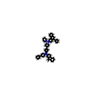 CC1(C)c2ccccc2-c2ccc(N(c3ccc(-c4ccccc4)cc3)c3ccc(-c4ccc(N(c5ccccc5)c5ccc6c(-c7ccccc7)cc7ccccc7c6c5)cc4)cc3)cc21